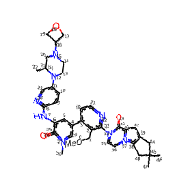 COCc1c(-c2cc(Nc3ccc(N4CCN(C5COC5)C[C@@H]4C)cn3)c(=O)n(C)c2)ccnc1-n1ccn2c3c(cc2c1=O)CC(C)(C)C3